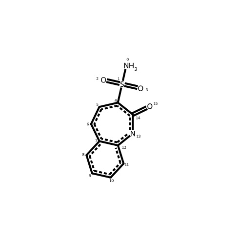 NS(=O)(=O)c1ccc2ccccc2nc1=O